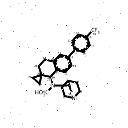 O=C(O)N(C1CN2CCC1CC2)[C@@H]1c2ccc(-c3ccc(C(F)(F)F)cc3)cc2CCC12CC2